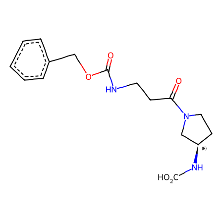 O=C(O)N[C@@H]1CCN(C(=O)CCNC(=O)OCc2ccccc2)C1